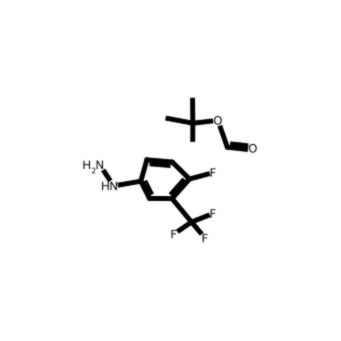 CC(C)(C)OC=O.NNc1ccc(F)c(C(F)(F)F)c1